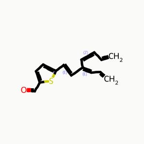 C=C\C=C/C(/C=C/c1ccc(C=O)s1)=C\C=C